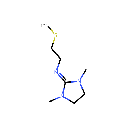 CCCSCCN=C1N(C)CCN1C